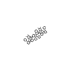 Cc1ccc(N(c2ccc3c(c2)C(c2ccccc2)(c2ccccc2)c2cc(N(c4ccc(C)c(C)c4)c4cccc5c4oc4c(-c6ccccc6)cccc45)c4ccccc4c2-3)c2cccc3c2oc2c(-c4ccccc4)cccc23)cc1C